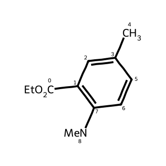 CCOC(=O)c1cc(C)ccc1NC